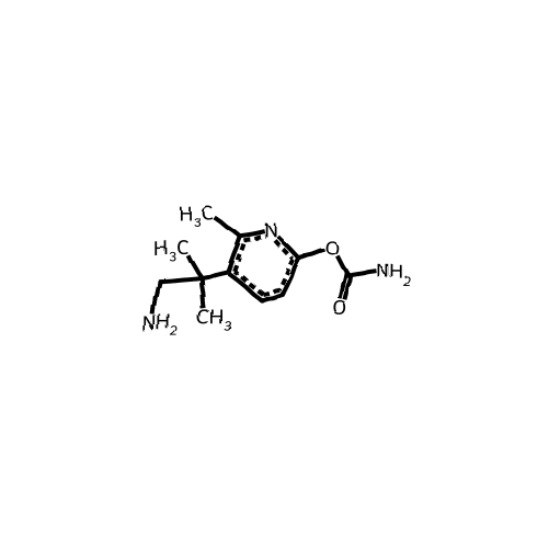 Cc1nc(OC(N)=O)ccc1C(C)(C)CN